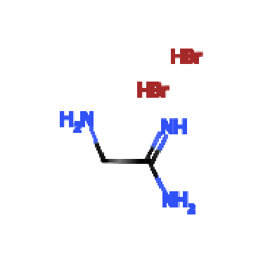 Br.Br.N=C(N)CN